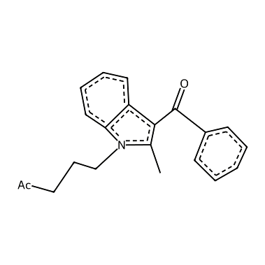 CC(=O)CCCn1c(C)c(C(=O)c2ccccc2)c2ccccc21